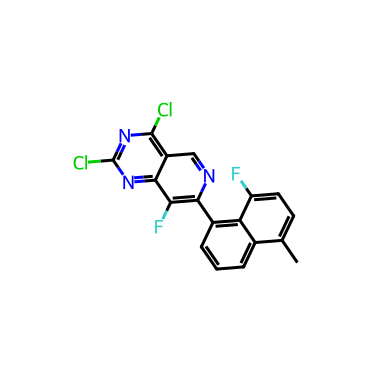 Cc1ccc(F)c2c(-c3ncc4c(Cl)nc(Cl)nc4c3F)cccc12